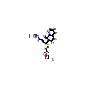 COCCSc1cc(C=NO)nc2c1ccc1cccnc12